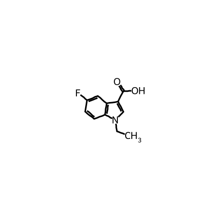 CCn1cc(C(=O)O)c2cc(F)ccc21